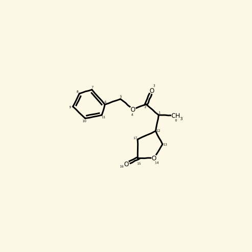 CC(C(=O)OCc1ccccc1)C1COC(=O)C1